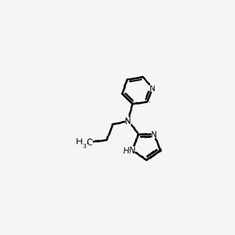 CCCN(c1[c]nccc1)c1ncc[nH]1